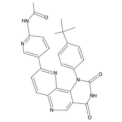 CC(=O)Nc1ccc(-c2ccc3ncc4c(=O)[nH]c(=O)n(-c5ccc(C(C)(C)C)cc5)c4c3n2)cn1